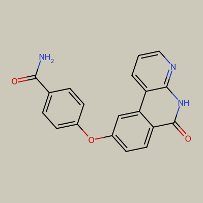 NC(=O)c1ccc(Oc2ccc3c(=O)[nH]c4ncccc4c3c2)cc1